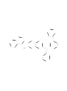 Cc1ccccc1N(c1ccc2cc3c(cc2c1)C(C)(C)c1c-3ccc2ccccc12)c1cccc2c1oc1ccccc12